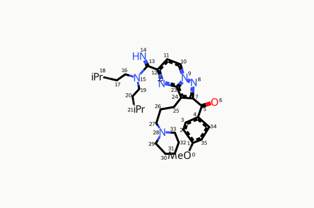 COc1ccc(C(=O)c2nn3ccc(C(=N)N(CCC(C)C)CCC(C)C)nc3c2CCCN2CCCCC2)cc1